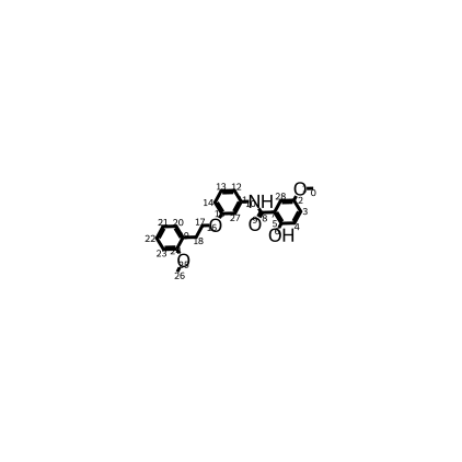 COc1ccc(O)c(C(=O)Nc2cccc(OCCc3ccccc3OC)c2)c1